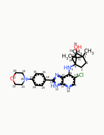 CC12CCC(Nc3c(Cl)cnc4[nH]c(-c5ccc(N6CCOCC6)cc5)nc34)(CC1O)C2(C)C